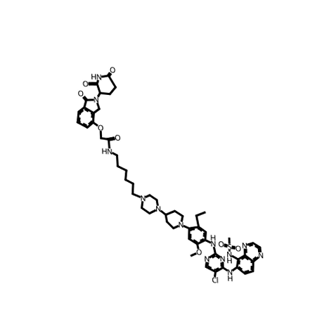 CCc1cc(Nc2ncc(Cl)c(Nc3ccc4nccnc4c3NS(C)(=O)=O)n2)c(OC)cc1N1CCC(N2CCN(CCCCCCNC(=O)COc3cccc4c3CN(C3CCC(=O)NC3=O)C4=O)CC2)CC1